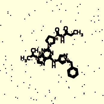 CCC(=O)NC(=O)[C@H]1CCN(c2nc(Nc3cnn(Cc4ccccc4)c3)c3ncn(C(C)C)c3n2)C1